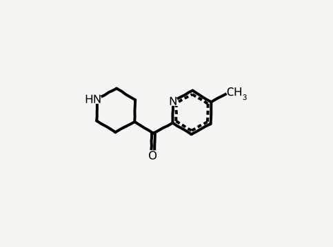 Cc1ccc(C(=O)C2CCNCC2)nc1